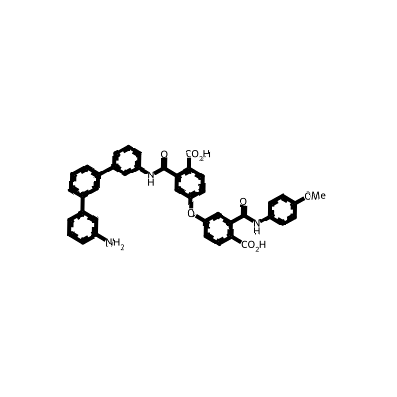 COc1ccc(NC(=O)c2cc(Oc3ccc(C(=O)O)c(C(=O)Nc4cccc(-c5cccc(-c6cccc(N)c6)c5)c4)c3)ccc2C(=O)O)cc1